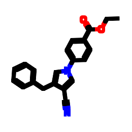 CCOC(=O)c1ccc(-n2cc(C#N)c(Cc3ccccc3)c2)cc1